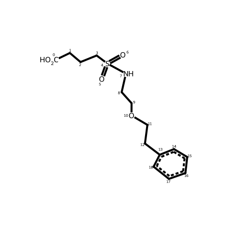 O=C(O)CCCS(=O)(=O)NCCOCCc1ccccc1